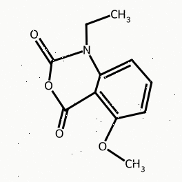 CCn1c(=O)oc(=O)c2c(OC)cccc21